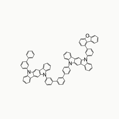 c1ccc(-c2cccc(-n3c4ccccc4c4cc5c(cc43)c3ccccc3n5-c3cccc(-c4cccc(-c5ccc(-n6c7ccccc7c7cc8c(cc76)c6ccccc6n8-c6cccc(-c7cccc8oc9ccccc9c78)c6)cc5)c4)c3)c2)cc1